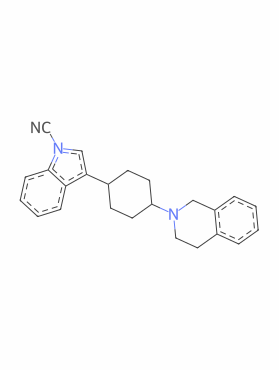 N#Cn1cc(C2CCC(N3CCc4ccccc4C3)CC2)c2ccccc21